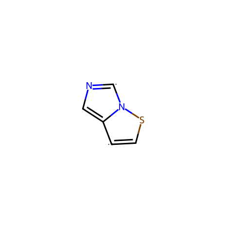 [c]1csn2[c]ncc12